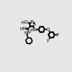 N=C(NCC1CCCCC1)c1c(O)nsc1Nc1ccc(Oc2cc(F)cc(F)c2)cc1